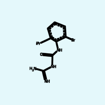 CC(C)c1cccc(Br)c1NC(=O)NC(=N)N